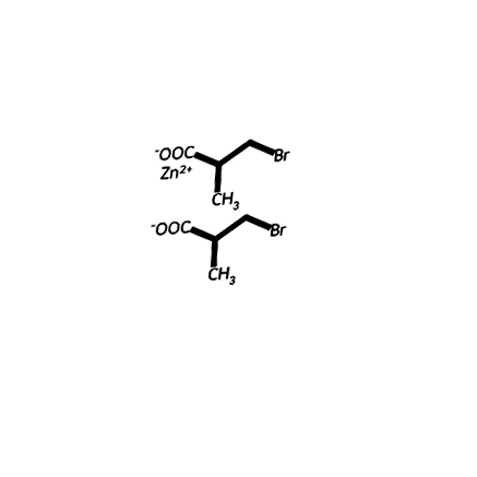 CC(CBr)C(=O)[O-].CC(CBr)C(=O)[O-].[Zn+2]